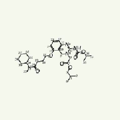 CC(C)COC(=O)CN1Cc2c(cccc2OCCCC(=O)N(C)C2CCCCC2)N=C1NC(=O)OC(C)C